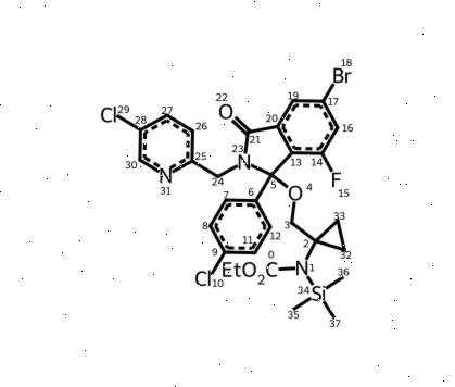 CCOC(=O)N(C1(COC2(c3ccc(Cl)cc3)c3c(F)cc(Br)cc3C(=O)N2Cc2ccc(Cl)cn2)CC1)[Si](C)(C)C